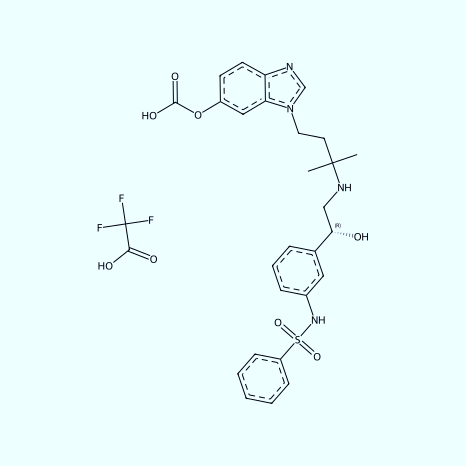 CC(C)(CCn1cnc2ccc(OC(=O)O)cc21)NC[C@H](O)c1cccc(NS(=O)(=O)c2ccccc2)c1.O=C(O)C(F)(F)F